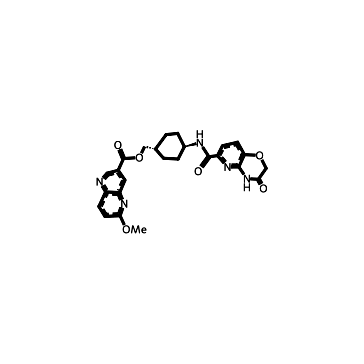 COc1ccc2ncc(C(=O)OC[C@H]3CC[C@H](NC(=O)c4ccc5c(n4)NC(=O)CO5)CC3)cc2n1